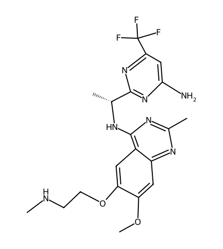 CNCCOc1cc2c(N[C@H](C)c3nc(N)cc(C(F)(F)F)n3)nc(C)nc2cc1OC